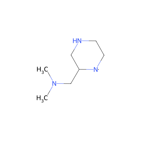 CN(C)CC1CNCC[N]1